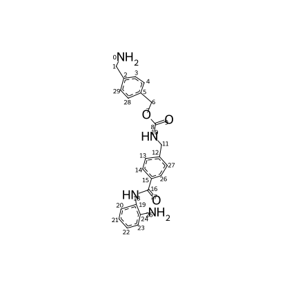 NCc1ccc(COC(=O)NCc2ccc(C(=O)Nc3ccccc3N)cc2)cc1